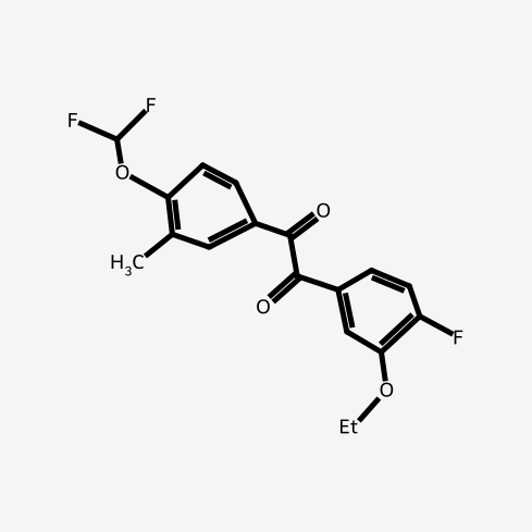 CCOc1cc(C(=O)C(=O)c2ccc(OC(F)F)c(C)c2)ccc1F